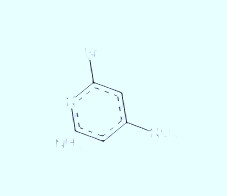 N.O=[N+]([O-])c1ccnc(Br)c1